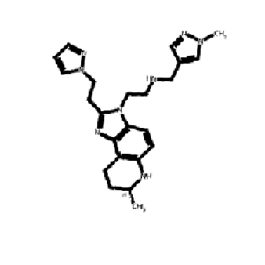 C[C@H]1CCc2c(ccc3c2nc(CCn2cccn2)n3CCNCc2cnn(C)c2)N1